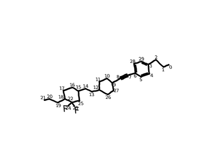 CCCc1ccc(C#CC2CCC(CCC3CCC(CCC)C(F)(F)C3)CC2)cc1